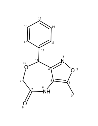 Cc1onc2c1NC(=O)COC2c1ccccc1